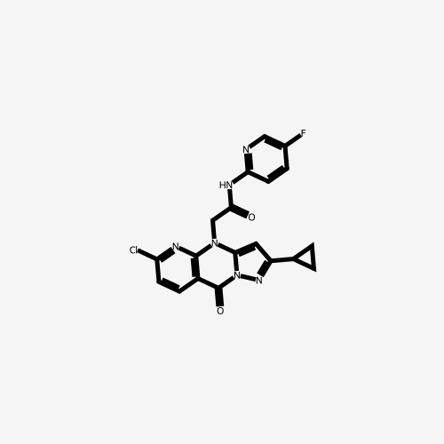 O=C(Cn1c2nc(Cl)ccc2c(=O)n2nc(C3CC3)cc12)Nc1ccc(F)cn1